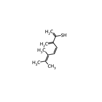 C=C(S)C(=C)/C=C\C(C)=C(C)C